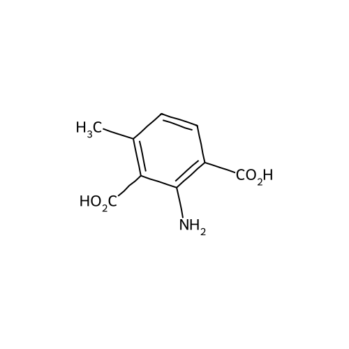 Cc1ccc(C(=O)O)c(N)c1C(=O)O